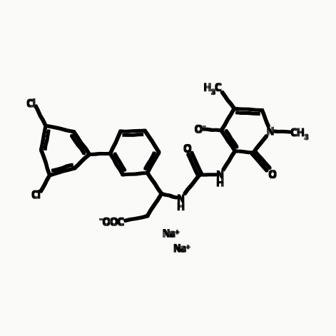 Cc1cn(C)c(=O)c(NC(=O)NC(CC(=O)[O-])c2cccc(-c3cc(Cl)cc(Cl)c3)c2)c1[O-].[Na+].[Na+]